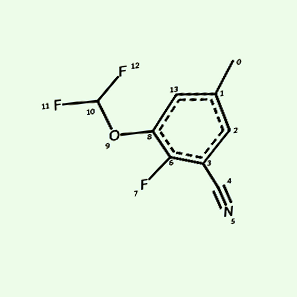 Cc1cc(C#N)c(F)c(OC(F)F)c1